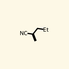 C=C(C#N)CCC